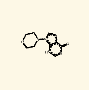 O=c1nc[nH]c2c1ncn2N1CCOCC1